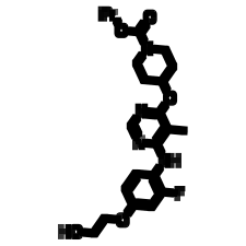 Cc1c(Nc2ccc(OCCO)cc2F)ncnc1OC1CCN(C(=O)OC(C)C)CC1